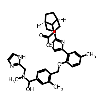 Cc1ccc(OCc2ccc(C(O)N(C)Cc3ncc[nH]3)cc2C)c(-c2csc(N3C[C@H]4CC[C@@H](C3)C4CC(=O)O)n2)c1